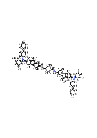 Cc1cc(C)cc(N(c2ccc(-c3ccccc3)cc2)c2ccc3c(c2)C(C)(C)c2cc(/C=C/c4ccc(/C=C/c5ccc6c(c5)C(C)(C)c5cc(N(c7ccc(-c8ccccc8)cc7)c7cc(C)cc(C)c7)ccc5-6)cc4)ccc2-3)c1